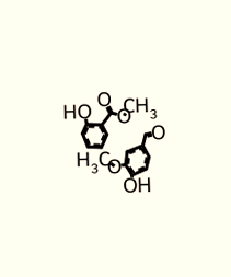 COC(=O)c1ccccc1O.COc1cc(C=O)ccc1O